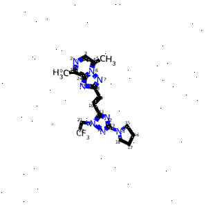 Cc1ncc(C)n2nc(C=Cc3nc(N4CCCC4)nn3CC(F)(F)F)nc12